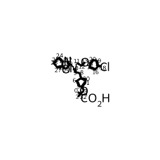 CC(C)(Oc1ccc(CCN(CCOc2ccc(Cl)cc2)c2nc3ccccc3o2)cc1)C(=O)O